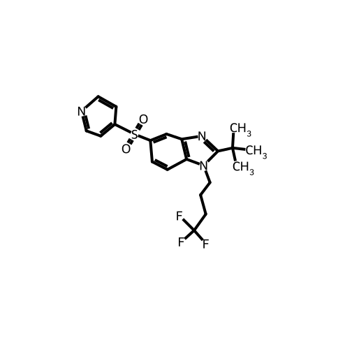 CC(C)(C)c1nc2cc(S(=O)(=O)c3ccncc3)ccc2n1CCCC(F)(F)F